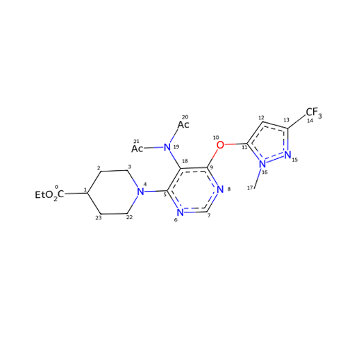 CCOC(=O)C1CCN(c2ncnc(Oc3cc(C(F)(F)F)nn3C)c2N(C(C)=O)C(C)=O)CC1